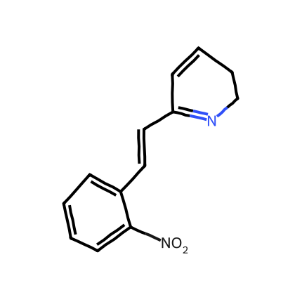 O=[N+]([O-])c1ccccc1/C=C/C1=NCCC=C1